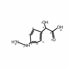 NNc1ccc(C(O)C(=O)O)cc1